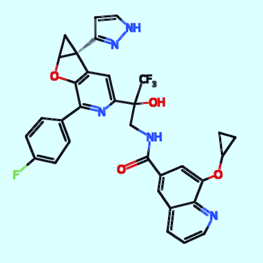 O=C(NCC(O)(c1cc2c(c(-c3ccc(F)cc3)n1)OC1C[C@@]21c1cc[nH]n1)C(F)(F)F)c1cc(OC2CC2)c2ncccc2c1